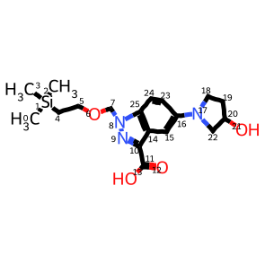 C[Si](C)(C)CCOCn1nc(C(=O)O)c2cc(N3CCC(O)C3)ccc21